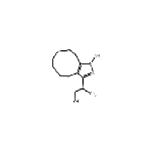 CCC(C)c1nn(C)c2c1CCCCCCC2